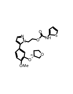 COc1ccc(-c2ccnn2CCOC(=O)Nc2cccs2)cc1O[C@@H]1CCOC1